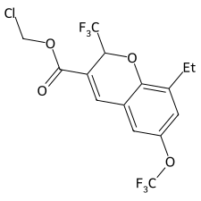 CCc1cc(OC(F)(F)F)cc2c1OC(C(F)(F)F)C(C(=O)OCCl)=C2